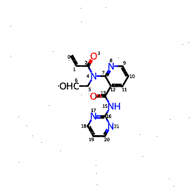 C=CC(=O)N(C[C]=O)c1ncccc1C(=O)Nc1ncccn1